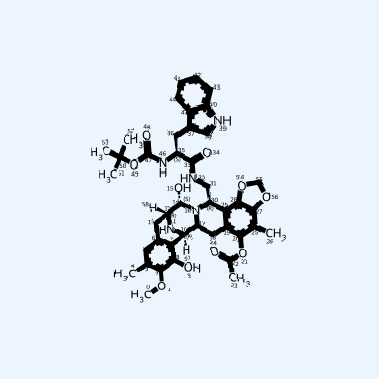 COc1c(C)cc2c(c1O)[C@H]1N[C@H](C2)[C@H](O)N2C1Cc1c(OC(C)=O)c(C)c3c(c1[C@@H]2CNC(=O)[C@H](Cc1c[nH]c2ccccc12)NC(=O)OC(C)(C)C)OCO3